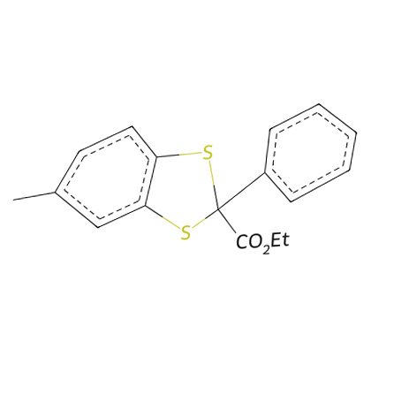 CCOC(=O)C1(c2ccccc2)Sc2ccc(C)cc2S1